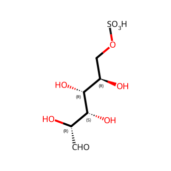 O=C[C@H](O)[C@@H](O)[C@H](O)[C@H](O)COS(=O)(=O)O